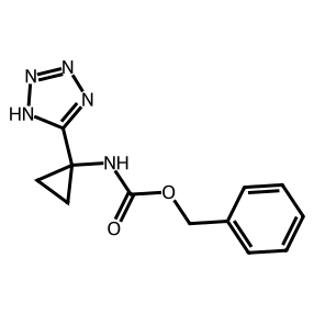 O=C(NC1(c2nnn[nH]2)CC1)OCc1ccccc1